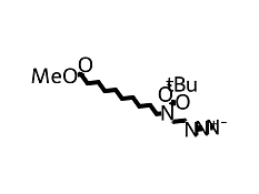 COC(=O)CCCCCCCCCN(CCN=[N+]=[N-])C(=O)OC(C)(C)C